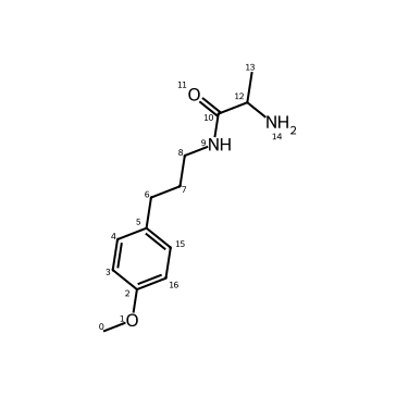 COc1ccc(CCCNC(=O)C(C)N)cc1